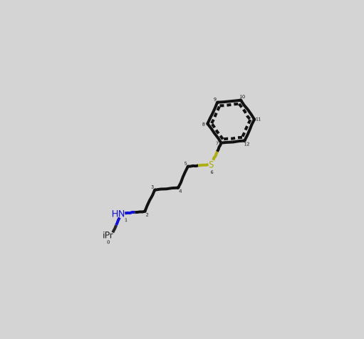 CC(C)NCCCCSc1ccccc1